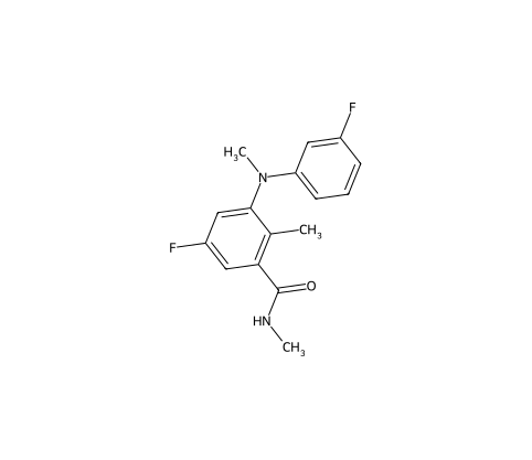 CNC(=O)c1cc(F)cc(N(C)c2cccc(F)c2)c1C